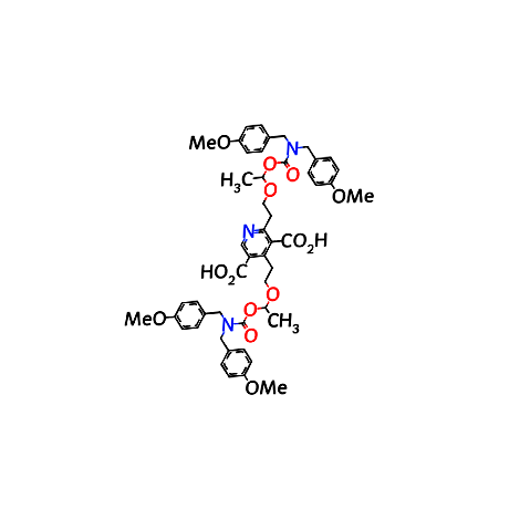 COc1ccc(CN(Cc2ccc(OC)cc2)C(=O)OC(C)OCCc2ncc(C(=O)O)c(CCOC(C)OC(=O)N(Cc3ccc(OC)cc3)Cc3ccc(OC)cc3)c2C(=O)O)cc1